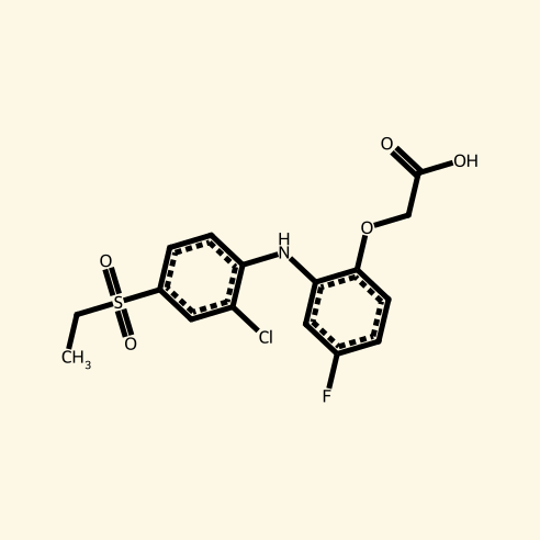 CCS(=O)(=O)c1ccc(Nc2cc(F)ccc2OCC(=O)O)c(Cl)c1